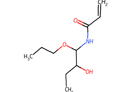 C=CC(=O)NC(OCCC)C(O)CC